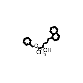 C[C@H](OCc1ccccc1)[C@@H](O)CCCc1cccc2ccccc12